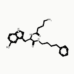 NCCCC(=O)NC(Cc1c[nH]c2ccc(O)cc12)C(=O)NCCCCc1ccccc1